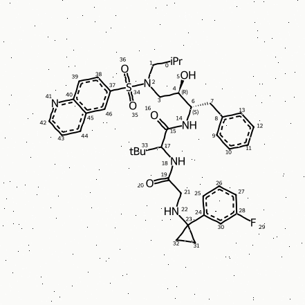 CC(C)CN(C[C@@H](O)[C@H](Cc1ccccc1)NC(=O)C(NC(=O)CNC1(c2cccc(F)c2)CC1)C(C)(C)C)S(=O)(=O)c1ccc2ncccc2c1